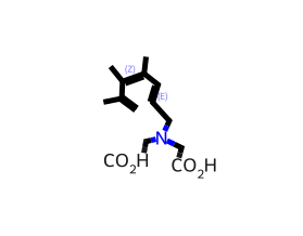 C=C(C)/C(C)=C(C)\C=C\CN(CC(=O)O)CC(=O)O